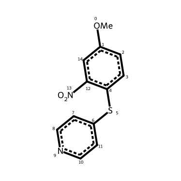 COc1ccc(Sc2ccncc2)c([N+](=O)[O-])c1